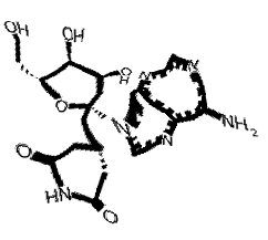 Nc1ncnc2c1ncn2[C@]1([C@@H]2CC(=O)NC2=O)O[C@H](CO)[C@@H](O)[C@H]1O